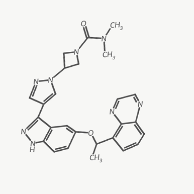 CC(Oc1ccc2[nH]nc(-c3cnn(C4CN(C(=O)N(C)C)C4)c3)c2c1)c1cccc2nccnc12